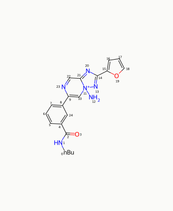 CCCCNC(=O)c1cccc(C2=C[N+]3(N)N=C(c4ccco4)N=C3C=N2)c1